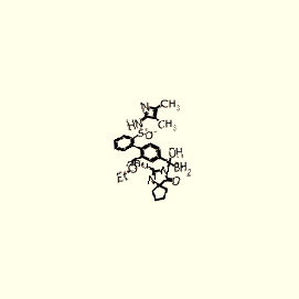 BC(O)(c1ccc(-c2ccccc2[S+]([O-])NC2=NC(C)=C2C)c(COCC)c1)N1C(=O)C2(CCCC2)N=C1CCCC